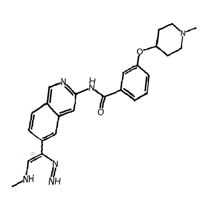 CN/C=C(\N=N)c1ccc2cnc(NC(=O)c3cccc(OC4CCN(C)CC4)c3)cc2c1